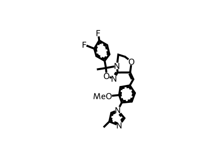 COc1cc(/C=C2/OCCN3C2=NOC3(C)c2ccc(F)c(F)c2)ccc1-n1cnc(C)c1